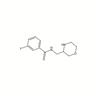 O=C(NCC1COCCN1)c1cccc(F)c1